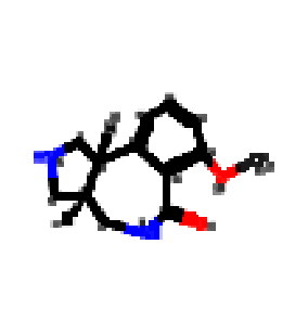 O=C1NC[C@H]2CNC[C@@H]2c2cccc(OC(F)(F)F)c21